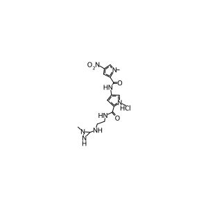 CN1NC1NCCNC(=O)c1cc(NC(=O)c2cc([N+](=O)[O-])cn2C)cn1C.Cl